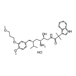 COCCCOc1cc(C[C@@H](C[C@H](N)[C@@H](O)CNC(=O)C(C)(C)c2c[nH]c3ccccc23)C(C)C)ccc1OC.Cl